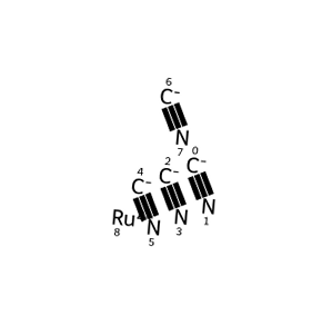 [C-]#N.[C-]#N.[C-]#N.[C-]#N.[Ru+4]